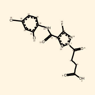 O=C(O)CCC(=O)n1nc(F)c(C(=O)Nc2ccc(Cl)cc2Cl)n1